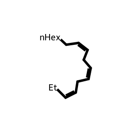 [CH2]CCCCCC/C=C\C/C=C\C/C=C\CC